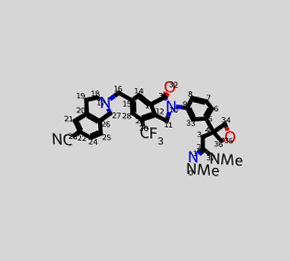 CN/N=C(/CC1(c2cccc(N3Cc4c(cc(CN5CCc6cc(C#N)ccc6C5)cc4C(F)(F)F)C3=O)c2)COC1)NC